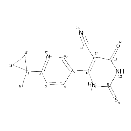 CC1(c2ccc(-c3[nH]c(=S)[nH]c(=O)c3C#N)cn2)CC1